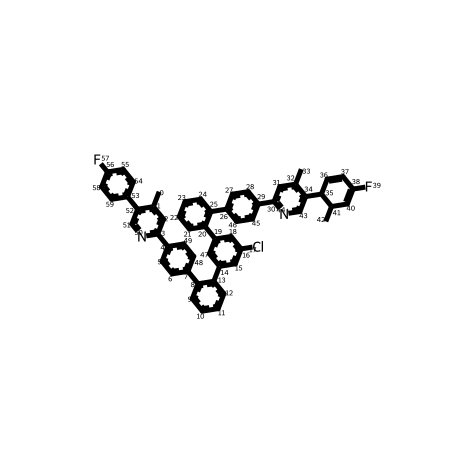 Cc1cc(-c2ccc(-c3ccccc3-c3cc(Cl)cc(-c4ccccc4-c4ccc(-c5cc(C)c(C6C=CC(F)=CC6C)cn5)cc4)c3)cc2)ncc1-c1ccc(F)cc1